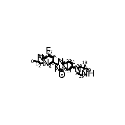 Cc1cn2cc(-c3nc(=O)n4cc(N5CCNC(C)(C)C5)ccc4n3)cc(F)c2n1